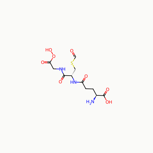 N[C@@H](CCC(=O)N[C@@H](CSC=O)C(=O)NCC(=O)OO)C(=O)O